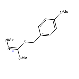 CN/N=C(/OC)SCc1ccc(OC)cc1